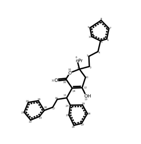 CCCC1(CCCc2ccccc2)CC(O)=C(C(CCc2ccccc2)c2ccccc2)C(=O)O1